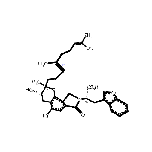 CC(C)=CCC/C(C)=C/CC[C@]1(C)Oc2c(c(O)cc3c2CN([C@@H](Cc2c[nH]c4ccccc24)C(=O)O)C3=O)C[C@@H]1O